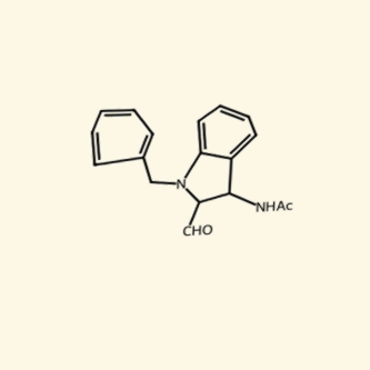 CC(=O)NC1c2ccccc2N(Cc2ccccc2)C1C=O